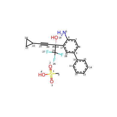 CS(=O)(=O)O.Nc1ccc(-c2ccccc2)cc1[C@](O)(C#CC1CC1)C(F)(F)F